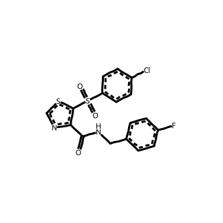 O=C(NCc1ccc(F)cc1)c1ncsc1S(=O)(=O)c1ccc(Cl)cc1